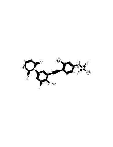 COc1c(I)cc(-n2c(=O)cc[nH]c2=O)cc1C#Cc1ccc(NS(C)(=O)=O)cc1C